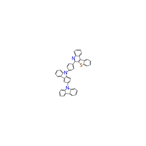 c1ccc2c(c1)nc(-c1ccc(-n3c4ccccc4c4cc(-n5c6ccccc6c6ccccc65)ccc43)cc1)c1sc3ccccc3c12